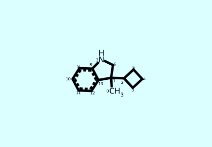 CC1(C2CCC2)CNc2ccccc21